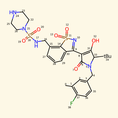 Cc1cc(CN2C(=O)C(C3=NS(=O)(=O)c4c(CNS(=O)(=O)N5CCNCC5)cccc43)=C(O)C2C(C)(C)C)ccc1F